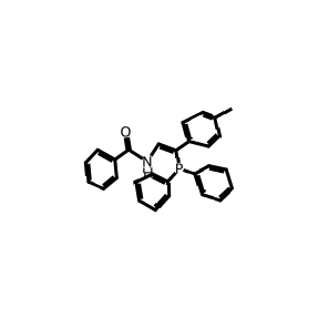 Cc1ccc(C(=CNC(=O)c2ccccc2)P(c2ccccc2)c2ccccc2)cc1